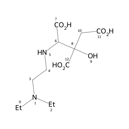 CCN(CC)CCNC(C(=O)O)C(O)(CC(=O)O)C(=O)O